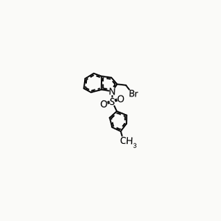 Cc1ccc(S(=O)(=O)n2c(CBr)cc3ccccc32)cc1